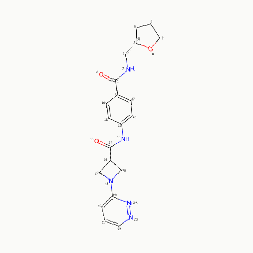 O=C(NC[C@@H]1CCCO1)c1ccc(NC(=O)C2CN(c3cccnn3)C2)cc1